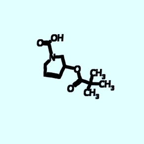 CC(C)(C)C(=O)OC1C=CCN(C(=O)O)C1